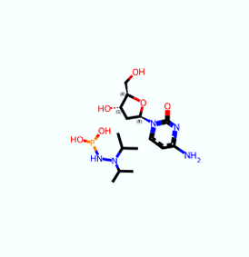 CC(C)N(NP(O)O)C(C)C.Nc1ccn([C@H]2C[C@H](O)[C@@H](CO)O2)c(=O)n1